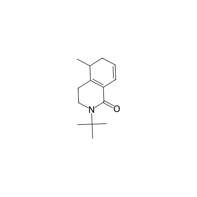 CC1CC=CC2=C1CCN(C(C)(C)C)C2=O